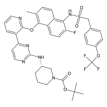 Cc1ccc2c(NS(=O)(=O)Cc3ccc(OC(F)(F)F)cc3)c(F)ccc2c1Oc1ncccc1-c1ccnc(N[C@H]2CCCN(C(=O)OC(C)(C)C)C2)n1